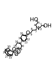 OCCN(CCO)CCCOc1ccc([C@H]2CC[C@]3(CC2)OO[C@]2(O3)C3CC4CC(C3)CC2C4)cc1